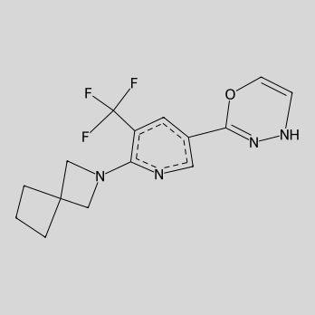 FC(F)(F)c1cc(C2=NNC=CO2)cnc1N1CC2(CCC2)C1